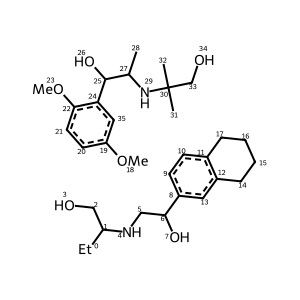 CCC(CO)NCC(O)c1ccc2c(c1)CCCC2.COc1ccc(OC)c(C(O)C(C)NC(C)(C)CO)c1